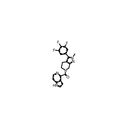 Cn1nc2c(c1-c1cc(F)c(F)c(F)c1)CCN(C(=O)c1nccc3[nH]ccc13)C2